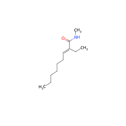 CCCCCC/C=C(\CC)C(=O)NC